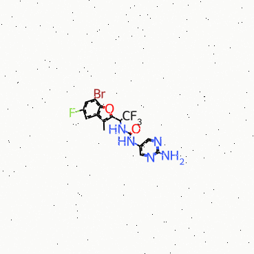 Cc1c([C@H](NC(=O)Nc2cnc(N)nc2)C(F)(F)F)oc2c(Br)cc(F)cc12